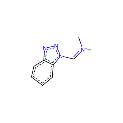 C[N+](C)=Cn1nnc2ccccc21